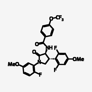 COc1cc(F)c([C@@H]2CN(c3cc(OC)ccc3F)C(=O)[C@H]2NC(=O)c2ccc(OC(F)(F)F)cc2)c(F)c1